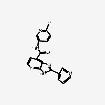 O=C(Nc1ccc(Cl)nc1)c1ccnc2[nH]c(-c3cccnc3)nc12